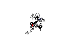 CC(=O)N/C(=N/C#N)NCCCC1(c2ccccc2)SC(c2cc(F)ccc2F)=NN1c1nnc(C)s1